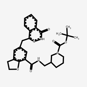 CC(C)(C)OC(=O)N1CCCC(CNC(=O)c2cc(Cc3n[nH]c(=O)c4ccccc34)cc3c2OCC3)C1